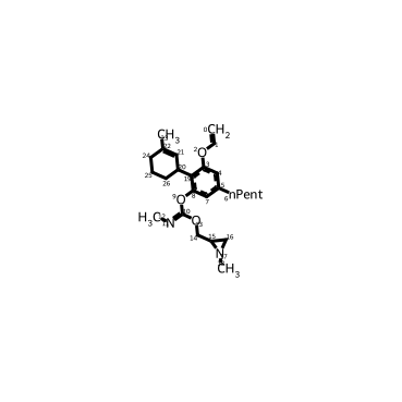 C=COc1cc(CCCCC)cc(O/C(=N\C)OCC2CN2C)c1C1C=C(C)CCC1